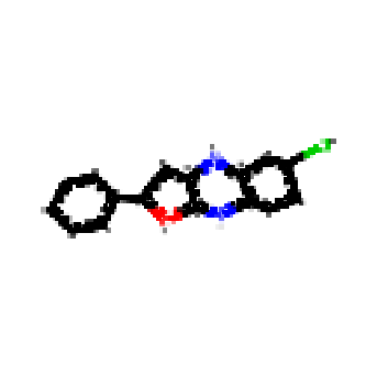 Clc1ccc2nc3oc(-c4ccccc4)cc3nc2c1